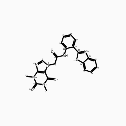 Cn1c(=O)c2c(ncn2CC(=O)Nc2ccccc2-c2nc3ccccc3s2)n(C)c1=O